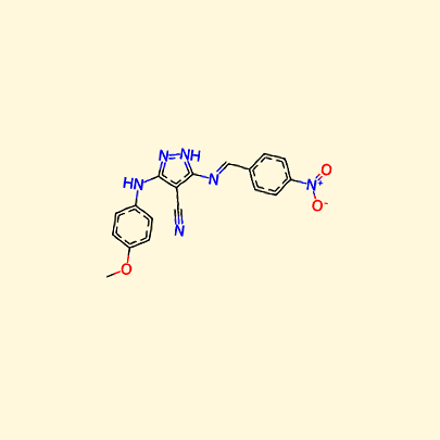 COc1ccc(Nc2n[nH]c(/N=C/c3ccc([N+](=O)[O-])cc3)c2C#N)cc1